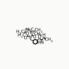 CNC(=N)Nc1cccc(CN(C(=O)OC(C)(C)C)C(=O)OC(C)(C)C)c1